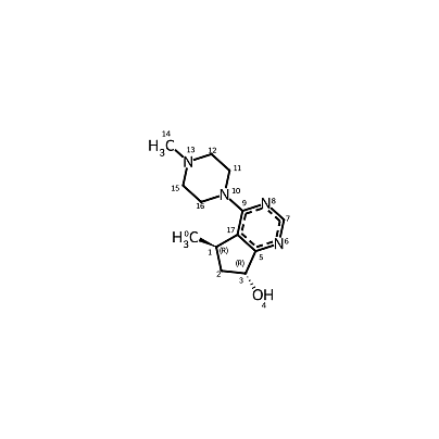 C[C@@H]1C[C@@H](O)c2ncnc(N3CCN(C)CC3)c21